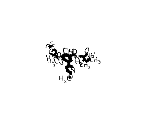 COc1ccc(-c2cc(C(=O)NCc3c(SC)cc(C)[nH]c3=O)c(C)c3c2OC(C)(C2CCN(CC(F)(F)F)CC2)O3)cn1